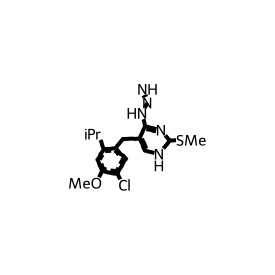 COc1cc(C(C)C)c(CC2=CNC(SC)N=C2NN=N)cc1Cl